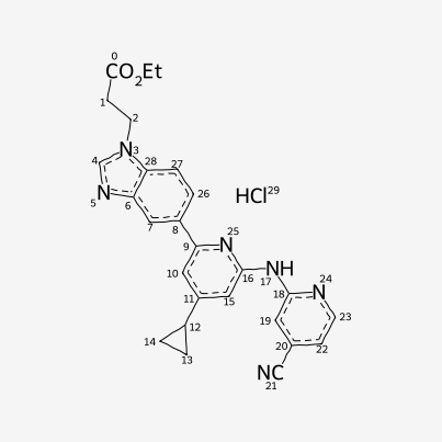 CCOC(=O)CCn1cnc2cc(-c3cc(C4CC4)cc(Nc4cc(C#N)ccn4)n3)ccc21.Cl